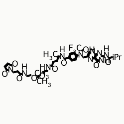 CC(C)C(=O)Nc1nc2ncc(CN(c3ccc(C(=O)N[C@H](C)CCC(=O)NCCOC(C)(C)OCCNC(=O)CCN4C(=O)C=CC4=O)cc3)C(O)C(F)(F)F)nc2c(=O)[nH]1